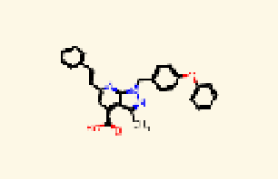 Cc1nn(Cc2ccc(Oc3ccccc3)cc2)c2nc(C=Cc3ccccc3)cc(C(=O)O)c12